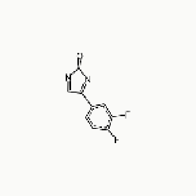 O=C1N=CC(c2ccc(F)c(F)c2)=N1